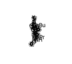 CC(C)C[C@H](NC(=O)OCc1ccccc1)C(=O)N1CCC[C@H]1C(=O)N(C)[C@@H](Cc1ccccc1)C(=O)O[C@H](C)[C@H](NC(=O)OC(C)(C)C)C(=O)OCOCC[Si](C)(C)C